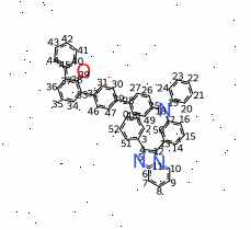 c1ccc(-c2nc3ccccn3c2-c2cccc(N(c3ccccc3)c3ccc(-c4ccc(-c5cccc6c5oc5ccccc56)cc4)cc3)c2)cc1